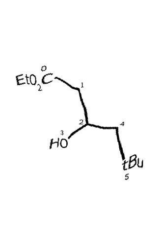 CCOC(=O)CC(O)CC(C)(C)C